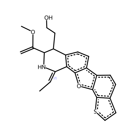 C=C(OC)C1N/C(=C\C)c2c(ccc3c2oc2c3ccc3ccsc32)C1CCO